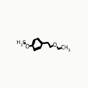 CCOCCc1ccc(OC)cc1